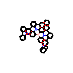 c1ccc(-c2cc3c4c(c2)N(c2c(-c5ccccc5)cccc2-c2ccccc2)c2cc(-n5c6ccccc6c6ccccc65)ccc2B4c2ccc(N4C5CC6CC(C5)CC4C6)cc2N3c2c(-c3ccccc3)cccc2-c2ccccc2)cc1